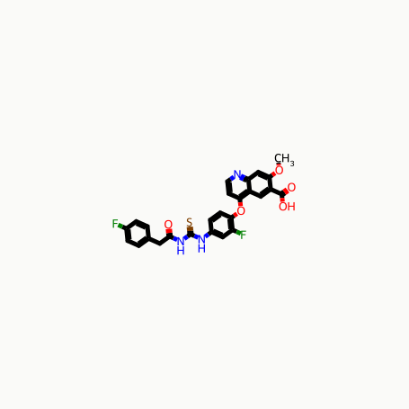 COc1cc2nccc(Oc3ccc(NC(=S)NC(=O)Cc4ccc(F)cc4)cc3F)c2cc1C(=O)O